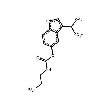 CC(=O)OC(C(=O)O)c1c[nH]c2ccc(OC(=O)NCCC(=O)O)cc12